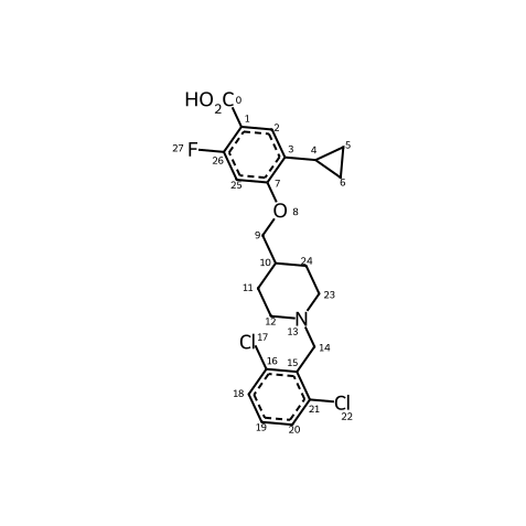 O=C(O)c1cc(C2CC2)c(OCC2CCN(Cc3c(Cl)cccc3Cl)CC2)cc1F